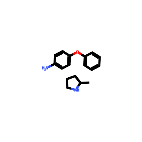 CC1CCCN1.Nc1ccc(Oc2ccccc2)cc1